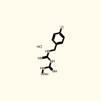 CCCCCCCCCCNC(=N)NC(=N)NCc1ccc(Cl)cc1.Cl